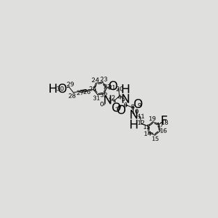 CN1C(=O)[C@H](NC(=O)C(=O)NCCc2cccc(F)c2)COc2ccc(C#CCCO)cc21